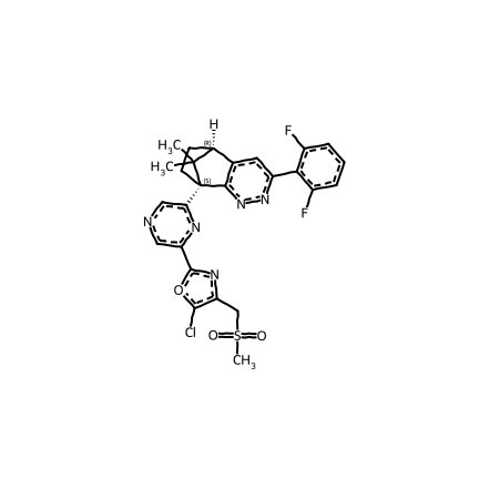 CC1(C)[C@H]2CC[C@]1(c1cncc(-c3nc(CS(C)(=O)=O)c(Cl)o3)n1)c1nnc(-c3c(F)cccc3F)cc12